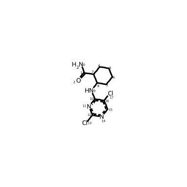 NC(=O)C1CCCCC1Nc1nc(Cl)ncc1Cl